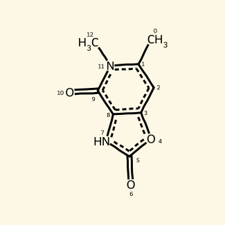 Cc1cc2oc(=O)[nH]c2c(=O)n1C